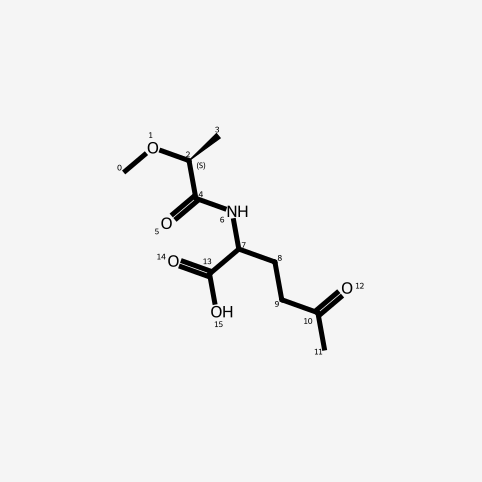 CO[C@@H](C)C(=O)NC(CCC(C)=O)C(=O)O